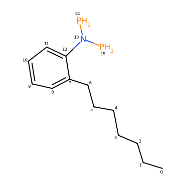 CCCCCCCc1ccccc1N(P)P